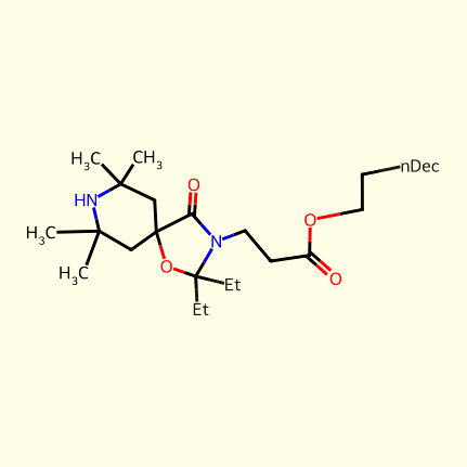 CCCCCCCCCCCCOC(=O)CCN1C(=O)C2(CC(C)(C)NC(C)(C)C2)OC1(CC)CC